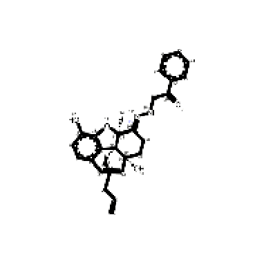 C=CCN1CC[C@]23c4c5ccc(O)c4O[C@H]2/C(=N/NCC(=O)c2ccccc2)CC[C@@]3(O)C1=C5